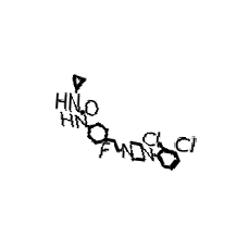 O=C(NC1CC1)NC1CCC(F)(CCN2CCN(c3cccc(Cl)c3Cl)CC2)CC1